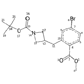 COC(=O)c1ccc(Br)cc1CC1CN(C(=O)OC(C)(C)C)C1